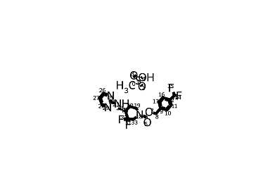 CS(=O)(=O)O.O=C(OCc1ccc(C(F)F)cc1)N1CC[C@H](CNc2ncccn2)C(F)(F)C1